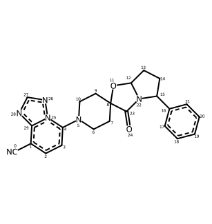 N#Cc1ccc(N2CCC3(CC2)OC2CCC(c4ccccc4)N2C3=O)n2ncnc12